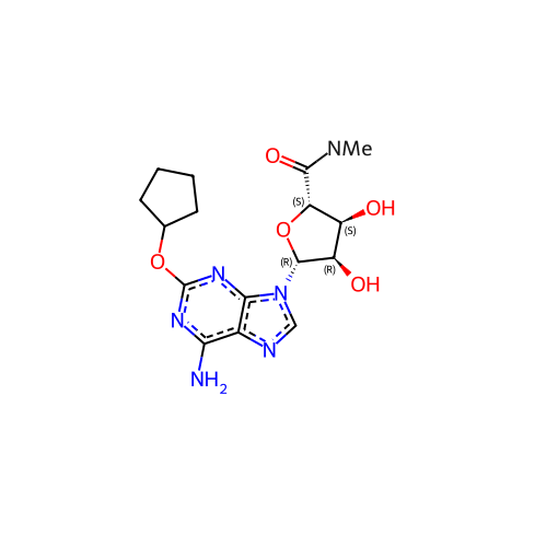 CNC(=O)[C@H]1O[C@@H](n2cnc3c(N)nc(OC4CCCC4)nc32)[C@H](O)[C@@H]1O